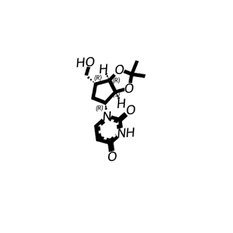 CC1(C)O[C@@H]2[C@@H](CO)C[C@@H](n3ccc(=O)[nH]c3=O)[C@@H]2O1